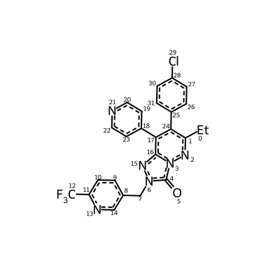 CCc1nn2c(=O)n(Cc3ccc(C(F)(F)F)nc3)nc2c(-c2ccncc2)c1-c1ccc(Cl)cc1